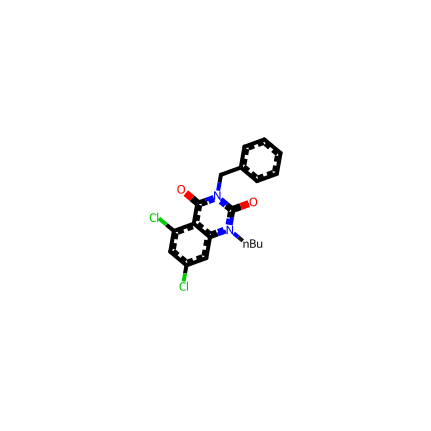 CCCCn1c(=O)n(Cc2ccccc2)c(=O)c2c(Cl)cc(Cl)cc21